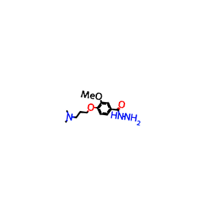 COc1cc(C(=O)NN)ccc1OCCCN(C)C